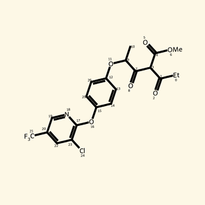 CCC(=O)C(C(=O)OC)C(=O)C(C)Oc1ccc(Oc2ncc(C(F)(F)F)cc2Cl)cc1